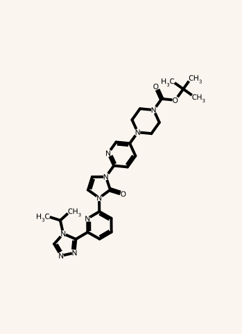 CC(C)n1cnnc1-c1cccc(-n2ccn(-c3ccc(N4CCN(C(=O)OC(C)(C)C)CC4)cn3)c2=O)n1